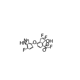 O=S(=O)(CF)c1ccc(Oc2ccc(F)c3[nH]ncc23)c2c1C(O)C(F)(F)C2